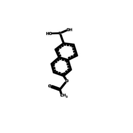 CC(=O)Oc1ccc2cc(B(O)O)ccc2c1